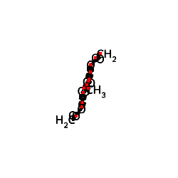 C=CC(=O)OCCCOc1ccc(-c2ccc(C(=O)Oc3ccc(OC(=O)c4ccc(-c5ccc(OCCCOC(=O)C=C)cc5)cc4)c(C)c3)cc2)cc1